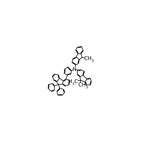 CC1c2ccccc2-c2ccc(N(c3cccc(-c4cccc5c4-c4ccccc4C5(c4ccccc4)c4ccccc4)c3)c3ccc4c(c3)C(C)(C)c3ccccc3-4)cc21